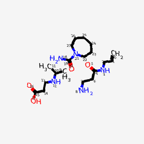 C=CCNC(=O)CCN.CC(C)NCCC(=O)O.NC(=O)N1CCCCCC1